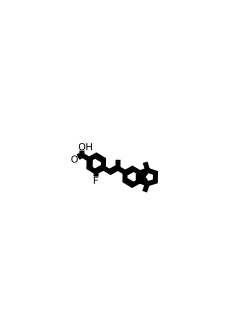 C/C(=C\c1ccc(C(=O)O)cc1F)c1ccc2c(c1)C1(C)CCC2(C)C1